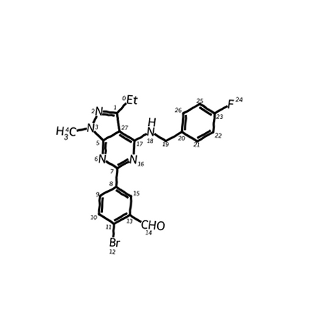 CCc1nn(C)c2nc(-c3ccc(Br)c(C=O)c3)nc(NCc3ccc(F)cc3)c12